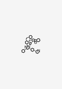 C1=Cc2ccc(-c3nc(-c4ccccc4)cc(-c4ccc(-c5cccnc5)cc4)n3)cc2C2(c3ccccc31)c1ccccc1-c1c2ccc2c1oc1ccccc12